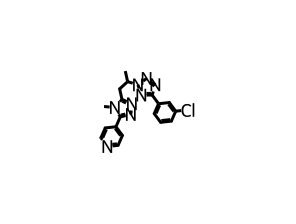 CC(Cc1nnc(-c2ccncc2)n1C)n1nnc(-c2cccc(Cl)c2)n1